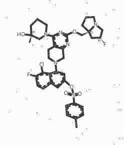 Cc1ccc(S(=O)(=O)Oc2cc(N3CCc4c(nc(OC[C@@]56CCCN5C[C@H](F)C6)nc4N4CCC[C@@](C)(O)C4)C3)c3c(Cl)c(F)ccc3c2)cc1